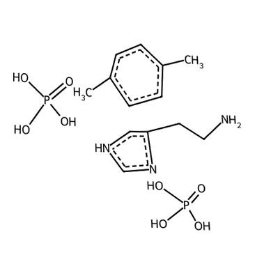 Cc1ccc(C)cc1.NCCc1c[nH]cn1.O=P(O)(O)O.O=P(O)(O)O